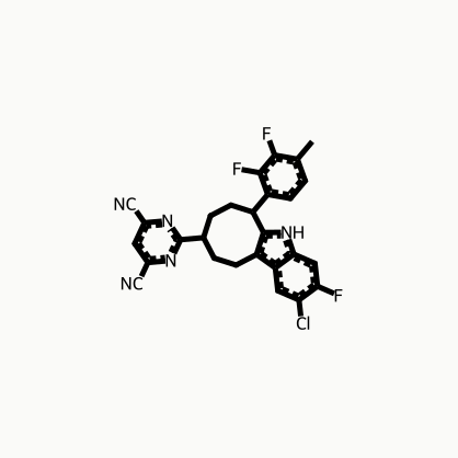 Cc1ccc(C2CCC(c3nc(C#N)cc(C#N)n3)CCc3c2[nH]c2cc(F)c(Cl)cc32)c(F)c1F